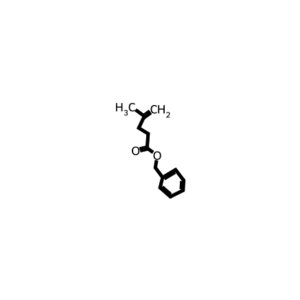 C=C(C)CCC(=O)OCc1ccccc1